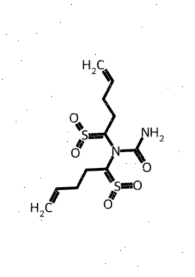 C=CCCC(N(C(N)=O)C(CCC=C)=S(=O)=O)=S(=O)=O